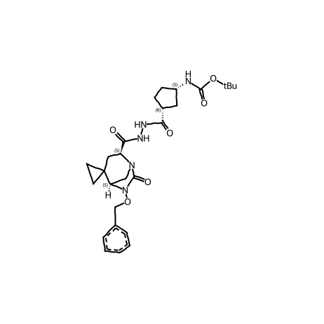 CC(C)(C)OC(=O)N[C@H]1CC[C@@H](C(=O)NNC(=O)[C@@H]2CC3(CC3)[C@H]3CN2C(=O)N3OCc2ccccc2)C1